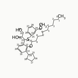 CCCCCCCCCCCOc1c(C2CCCC2)cccc1C(Sc1cccc(OC)c1)C(O)CO